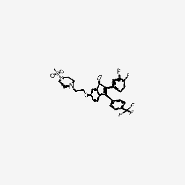 CS(=O)(=O)N1CCN(CCOc2ccc3c(c2)C(=O)C(c2ccc(F)c(F)c2)=C3c2ccc(C(F)(F)F)cc2)CC1